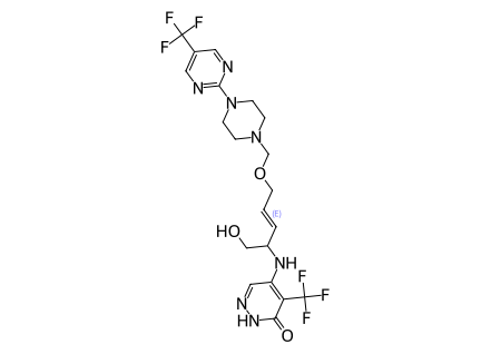 O=c1[nH]ncc(NC(/C=C/COCN2CCN(c3ncc(C(F)(F)F)cn3)CC2)CO)c1C(F)(F)F